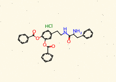 Cl.NC(Cc1ccccc1)C(=O)NCCc1ccc(OC(=O)c2ccccc2)c(OC(=O)c2ccccc2)c1